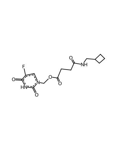 O=C(CCC(=O)OCn1cc(F)c(=O)[nH]c1=O)NCC1CCC1